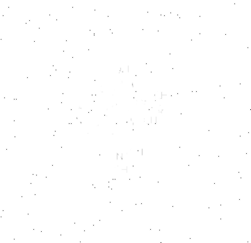 CN(C)CCc1cncc2sc(C(=O)O)c(C(=O)OC(C)(C)C)c12